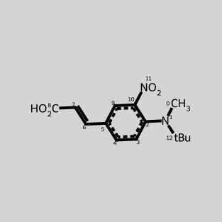 CN(c1ccc(C=CC(=O)O)cc1[N+](=O)[O-])C(C)(C)C